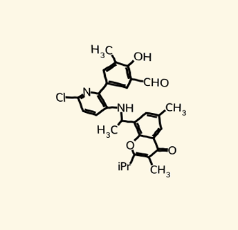 Cc1cc(C(C)Nc2ccc(Cl)nc2-c2cc(C)c(O)c(C=O)c2)c2oc(C(C)C)c(C)c(=O)c2c1